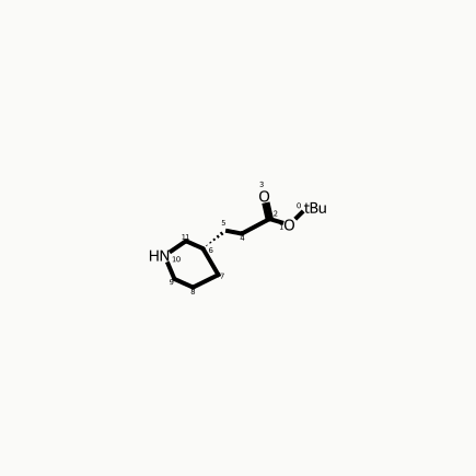 CC(C)(C)OC(=O)CC[C@@H]1CCCNC1